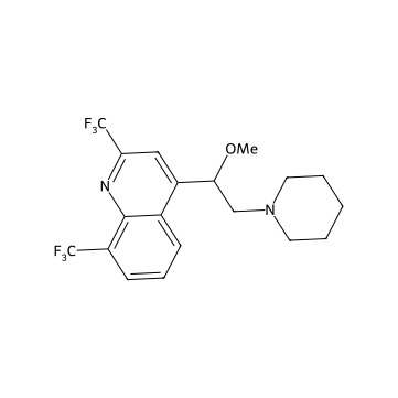 COC(CN1CCCCC1)c1cc(C(F)(F)F)nc2c(C(F)(F)F)cccc12